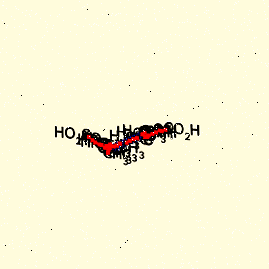 CC1=C(/C=C/C(C)=C/C=C/C(C)=C/C=C/C=C(C)/C=C/C=C(C)/C=C/C2=C(C)C(=O)C(OC(=O)CCNC(=O)NCCCC(=O)O)CC2(C)C)C(C)(C)CC(OC(=O)CCNC(=O)NCCCC(=O)O)C1=O